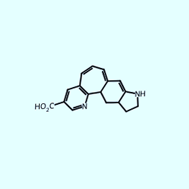 O=C(O)c1cnc2c(c1)C=CC=C1C=C3NCCC3CC12